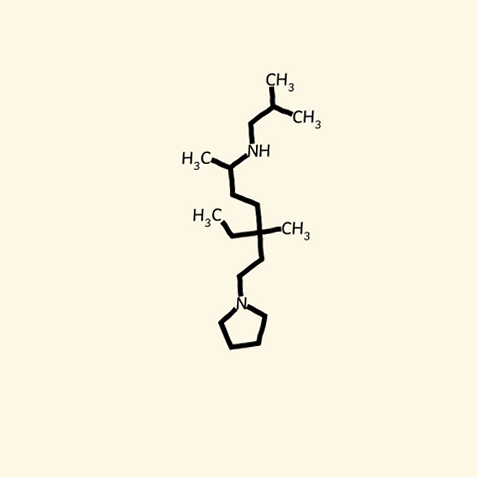 CCC(C)(CCC(C)NCC(C)C)CCN1CCCC1